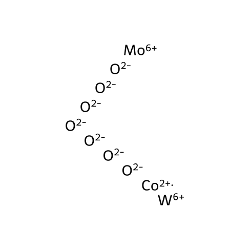 [Co+2].[Mo+6].[O-2].[O-2].[O-2].[O-2].[O-2].[O-2].[O-2].[W+6]